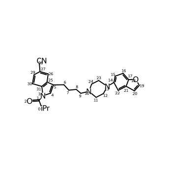 CC(C)C(=O)n1cc(CCCCN2CCN(c3ccc4occc4c3)CC2)c2cc(C#N)ccc21